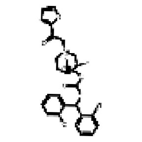 O=C(OC(c1ccccc1Cl)c1ccccc1Cl)O[C@H]1C[N+]2(CC(=O)c3cccs3)CCC1CC2